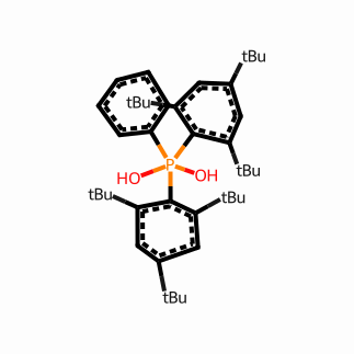 CC(C)(C)c1cc(C(C)(C)C)c(P(O)(O)(c2ccccc2)c2c(C(C)(C)C)cc(C(C)(C)C)cc2C(C)(C)C)c(C(C)(C)C)c1